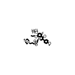 CCCOc1ccc(F)c2c(=O)c(-c3ccc(OC)cc3)cn(CCS(=O)(=O)CCCN3CCN(C)CC3)c12.Cl.Cl